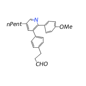 CCCCCc1cnc(-c2ccc(OC)cc2)c(-c2ccc(CCC=O)cc2)c1